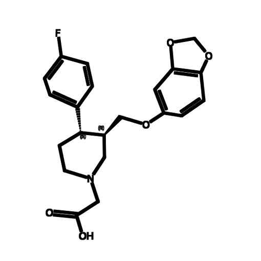 O=C(O)CN1CC[C@H](c2ccc(F)cc2)[C@@H](COc2ccc3c(c2)OCO3)C1